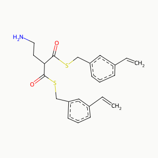 C=Cc1cccc(CSC(=O)C(CCN)C(=O)SCc2cccc(C=C)c2)c1